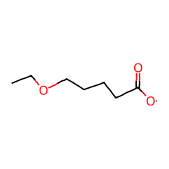 CCOCCCCC([O])=O